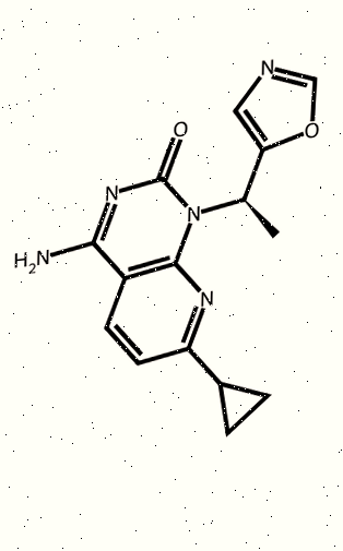 C[C@H](c1cnco1)n1c(=O)nc(N)c2ccc(C3CC3)nc21